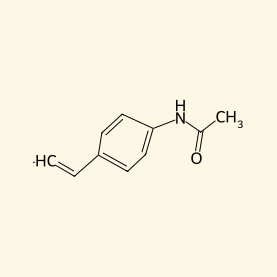 [CH]=Cc1ccc(NC(C)=O)cc1